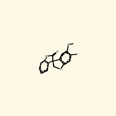 COc1cc2c(cc1F)OCC21C(=O)Nc2ccccc21